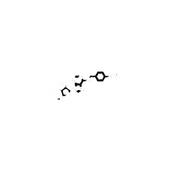 CNc1ccc(CNc2ncnc3c2ncn3[C@@H]2O[C@H](CO)[C@@H](O)[C@H]2O)cc1